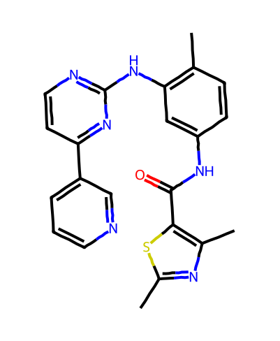 Cc1nc(C)c(C(=O)Nc2ccc(C)c(Nc3nccc(-c4cccnc4)n3)c2)s1